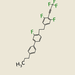 CCCc1ccc(-c2ccc(CCc3cc(F)c(C#CC(F)(F)F)c(F)c3)c(F)c2)cc1